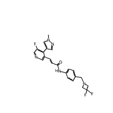 Cn1cc(-c2c(F)cncc2/C=C/C(=O)Nc2ccc(CN3CC(F)(F)C3)cc2)cn1